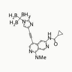 BC(B)(B)n1cc(C#Cc2cnc(NC)c3cnc(NC(=O)C4CC4)cc23)nc1C